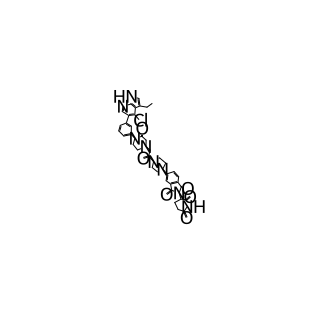 CCc1c[nH]c2ncc(-c3cccc(N4CCN(CC(=O)N5CCN(c6ccc7c(c6)C(=O)N(C6CCC(=O)NC6=O)C7=O)CC5)CC4=O)c3)c(Cl)c12